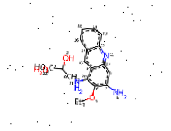 CC(O)C(=O)O.CCOc1c(N)cc2nc3ccccc3cc2c1N.O